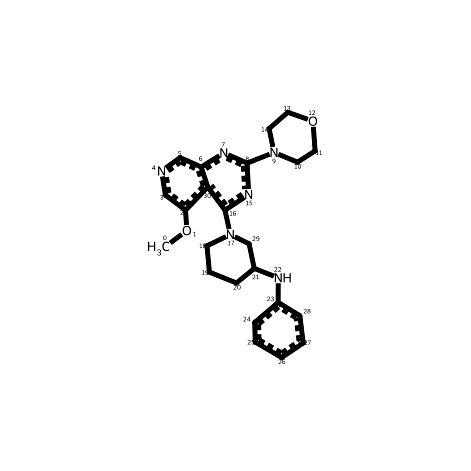 COc1cncc2nc(N3CCOCC3)nc(N3CCCC(Nc4ccccc4)C3)c12